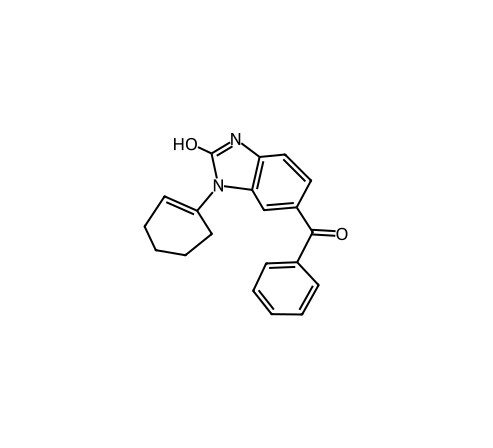 O=C(c1ccccc1)c1ccc2nc(O)n(C3=CCCCC3)c2c1